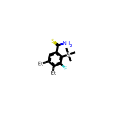 CCc1cc(C(N)=S)c([Si](C)(C)C)c(F)c1CC